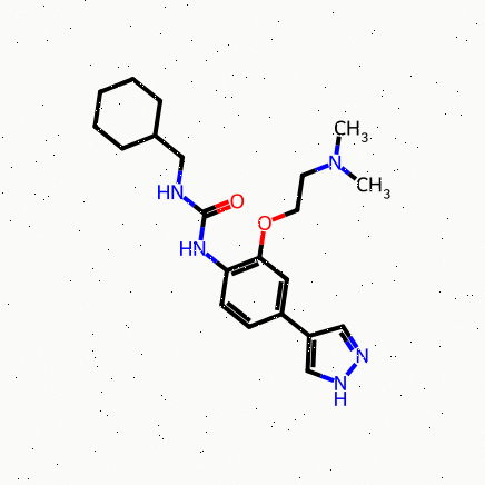 CN(C)CCOc1cc(-c2cn[nH]c2)ccc1NC(=O)NCC1CCCCC1